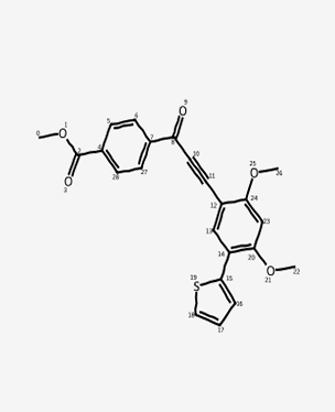 COC(=O)c1ccc(C(=O)C#Cc2cc(-c3cccs3)c(OC)cc2OC)cc1